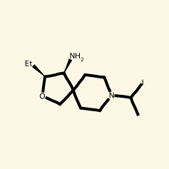 CC[C@@H]1OCC2(CCN(C(C)I)CC2)[C@@H]1N